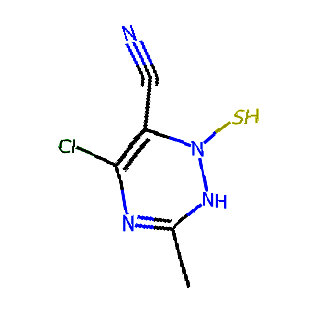 CC1=NC(Cl)=C(C#N)N(S)N1